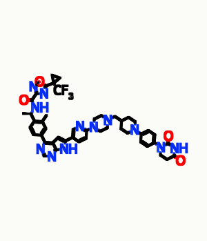 Cc1cc(-c2ncnc3[nH]c(-c4ccc(N5CCN(CC6CCN(c7ccc(N8CCC(=O)NC8=O)cc7)CC6)CC5)nc4)cc23)ccc1[C@@H](C)NC(=O)c1noc(C2(C(F)(F)F)CC2)n1